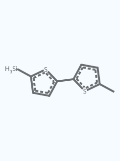 Cc1ccc(-c2ccc([SiH3])s2)s1